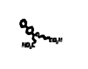 O=C(O)CC=CCOC(CCC(=O)O)c1ccc(-c2ccccc2)cc1